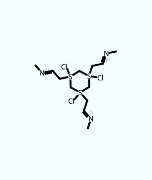 C/N=C/CS1(Cl)CS(Cl)(C/C=N/C)CS(Cl)(C/C=N/C)C1